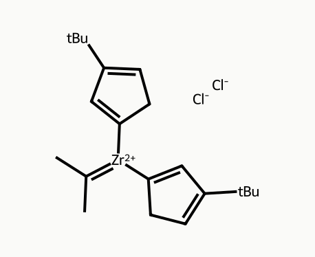 C[C](C)=[Zr+2]([C]1=CC(C(C)(C)C)=CC1)[C]1=CC(C(C)(C)C)=CC1.[Cl-].[Cl-]